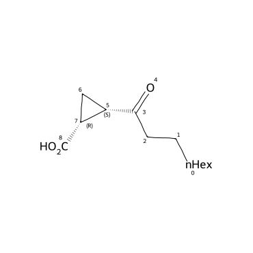 CCCCCCCCC(=O)[C@H]1C[C@H]1C(=O)O